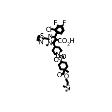 CN1C(c2nccs2)=NC(c2ccc(F)c(F)c2Cl)C(C(=O)O)=C1C1CCN(S(=O)(=O)C2CCC(C)(C(=O)OCC[Si](C)(C)C)CC2)CC1